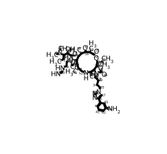 CCC(C(O)[C@@H](OCCNC=N)O[C@@H]1[C@@H](C)C(=O)[C@@H](C)C(=O)O[C@H](CC)[C@@]2(C)OC(=O)N(CCCCn3cc(-c4cccc(N)c4)nn3)[C@@H]2[C@@H](C)NC[C@H](C)C[C@@]1(C)OC)N(C)C